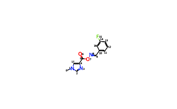 Cn1cnc(C(=O)ON=Cc2cccc(F)c2)c1